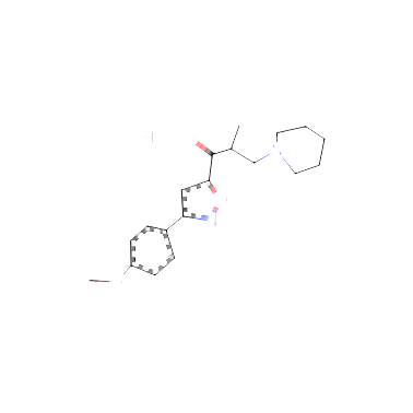 COc1ccc(-c2cc(C(=O)C(C)CN3CCCCC3)on2)cc1.Cl